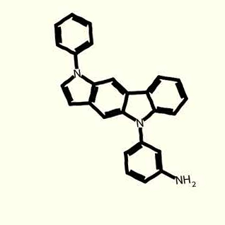 Nc1cccc(-n2c3ccccc3c3cc4c(ccn4-c4ccccc4)cc32)c1